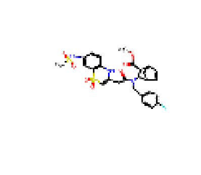 COC(=O)C1C2C=CC(C2)C1N(Cc1ccc(F)cc1)C(=O)CC1=CS(=O)(=O)c2cc(NS(C)(=O)=O)ccc2N1